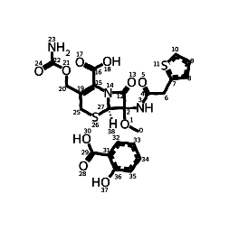 CO[C@@]1(NC(=O)Cc2cccs2)C(=O)N2C(C(=O)O)=C(COC(N)=O)CS[C@@H]21.O=C(O)c1ccccc1O